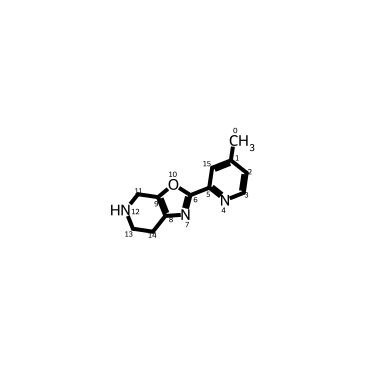 Cc1ccnc(-c2nc3c(o2)CNCC3)c1